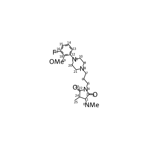 CNC1C(=O)N(CCCN2CCN(c3cccc(F)c3OC)CC2)C(=O)C1C